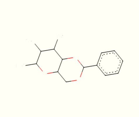 CC(=O)OC1C(C)OC2COC(c3ccccc3)OC2C1OC(C)=O